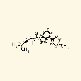 CC(C)C#CCNC(=O)n1cnc2c(N3CCN(C)CC3)cccc21